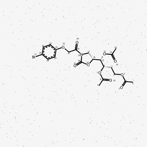 CC(=O)OCC[C@H](OC(C)=O)[C@@H](OC(C)=O)[C@H]1CN(C(=O)COc2ccc(Br)cc2)C(=O)O1